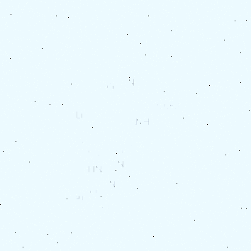 CC(C)(C)OC(=O)N=C(NOCCNc1cc(=O)n(C2CCOCC2)cc1C(=O)[O-])NC(=O)OC(C)(C)C.[Li+]